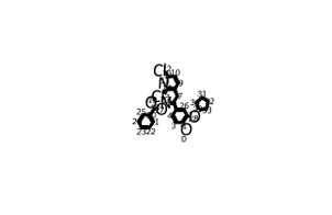 COc1ccc(C(Cc2ccc(Cl)nc2Cl)=NOC(=O)c2ccccc2)cc1OC1CCCC1